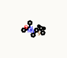 c1ccc(-c2nc(-n3c4ccccc4c4c5c(ccc43)C3(c4ccccc4S5)c4ccccc4-c4ccccc43)nc3c2oc2ccccc23)cc1